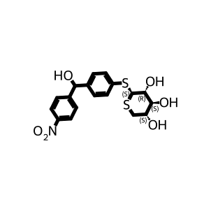 O=[N+]([O-])c1ccc(C(O)c2ccc(S[C@@H]3SC[C@@H](O)[C@H](O)[C@H]3O)cc2)cc1